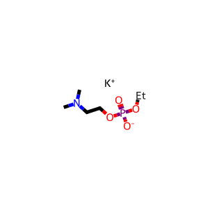 CCOP(=O)([O-])OCCN(C)C.[K+]